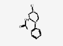 CC(=O)O.ClN1CCN(c2ccccc2)CC1